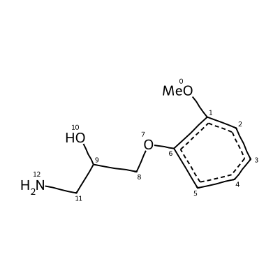 COc1ccccc1OCC(O)CN